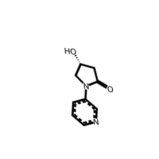 O=C1C[C@@H](O)CN1c1cccnc1